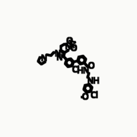 COc1ccc(NCCNC(=O)c2cccc(-c3cc(-c4nn(CCCN5CCCC5)c5c4CN(S(C)(=O)=O)CC5)ccc3Cl)c2)cc1Cl